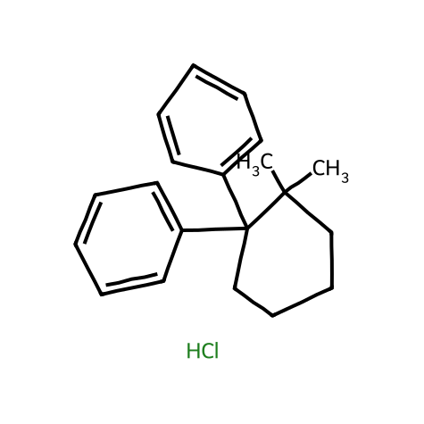 CC1(C)CCCCC1(c1ccccc1)c1ccccc1.Cl